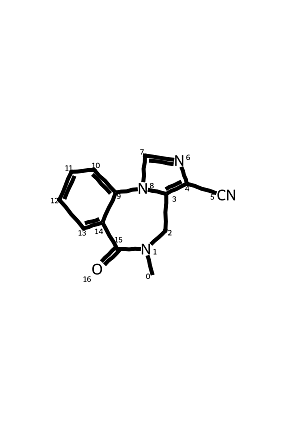 CN1Cc2c(C#N)ncn2-c2ccccc2C1=O